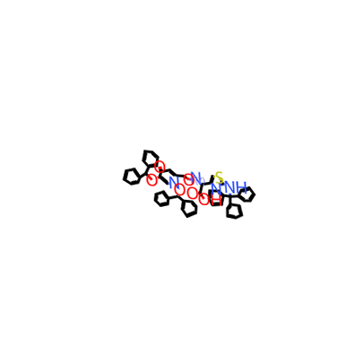 O=C(O)/C(=N\OCc1cc(=O)c(OC(c2ccccc2)c2ccccc2)cn1OC(c1ccccc1)c1ccccc1)c1csc(NC(c2ccccc2)(c2ccccc2)c2ccccc2)n1